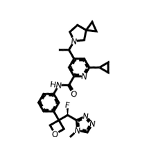 CC(c1cc(C(=O)Nc2cccc(C3([C@@H](F)c4nncn4C)COC3)c2)nc(C2CC2)c1)N1CCC2(CC2)C1